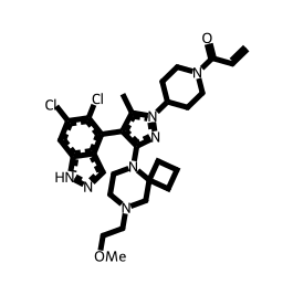 C=CC(=O)N1CCC(n2nc(N3CCN(CCOC)CC34CCC4)c(-c3c(Cl)c(Cl)cc4[nH]ncc34)c2C)CC1